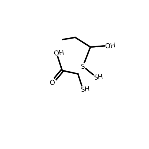 CCC(O)SS.O=C(O)CS